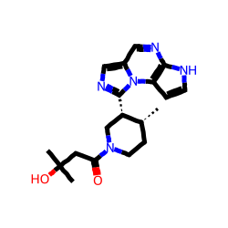 C[C@@H]1CCN(C(=O)CC(C)(C)O)C[C@@H]1c1ncc2cnc3[nH]ccc3n12